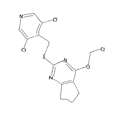 ClCOc1nc(SCc2c(Cl)cncc2Cl)nc2c1CCC2